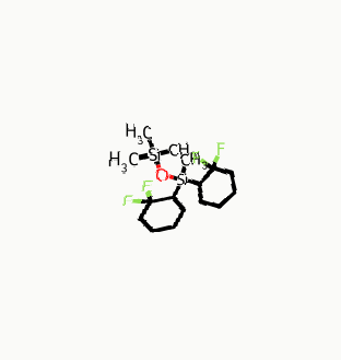 C[Si](C)(C)O[Si](C)(C1CCCCC1(F)F)C1CCCCC1(F)F